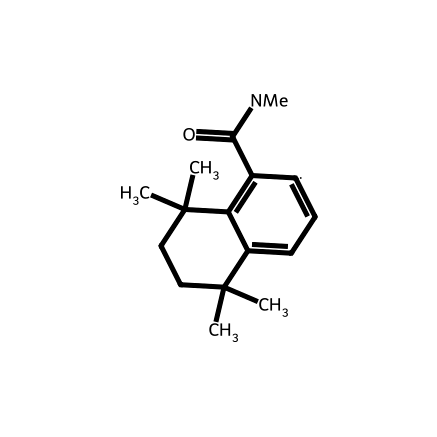 CNC(=O)c1[c]ccc2c1C(C)(C)CCC2(C)C